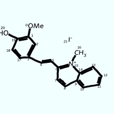 COc1cc(/C=C/c2ccc3ccccc3[n+]2C)ccc1O.[I-]